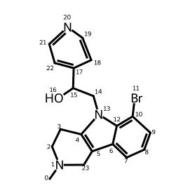 CN1CCc2c(c3cccc(Br)c3n2CC(O)c2ccncc2)C1